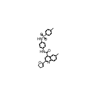 Cc1ccc(S(=O)(=O)Nc2ccc(NC(=O)c3cc(C4=CCCO4)nc4ccc(C)cc34)cc2)cc1